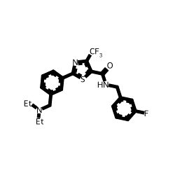 CCN(CC)Cc1cccc(-c2nc(C(F)(F)F)c(C(=O)NCc3cccc(F)c3)s2)c1